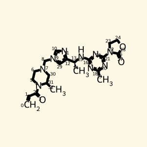 C=CC(=O)N1CCN(Cn2cnc([C@H](C)Nc3nc(C)nc(N4CCOC4=O)n3)c2)CC1C